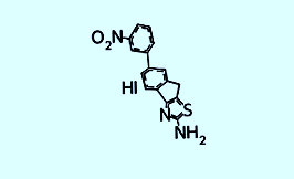 I.Nc1nc2c(s1)Cc1cc(-c3cccc([N+](=O)[O-])c3)ccc1-2